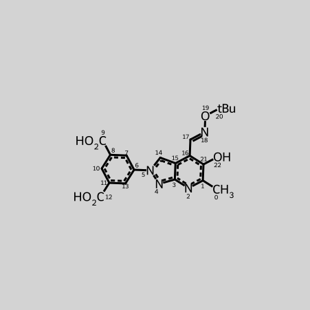 Cc1nc2nn(-c3cc(C(=O)O)cc(C(=O)O)c3)cc2c(C=NOC(C)(C)C)c1O